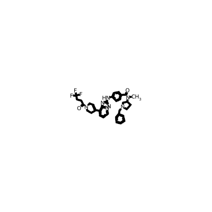 CN(C(=O)c1ccc(Nc2nc3c(C4=CCN(C(=O)CCC(F)(F)F)CC4)cccn3n2)cc1)C1CCN(Cc2ccccc2)C1